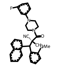 COc1ccccc1C(c1cccc2ccccc12)[C@@](C)(C#N)C(=O)N1CCN(c2cccc(F)c2)CC1